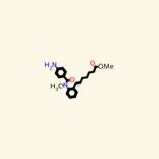 COC(=O)CCCC/C=C/c1ccccc1N(C)C(=O)c1ccc(N)cc1